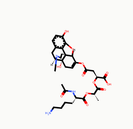 CC(=O)N[C@@H](CCCCN)C(=O)O[C@@H](C)C(=O)O[C@@H](CC(=O)OC1=CC[C@@]2(O)[C@H]3Cc4ccc(O)c5c4[C@@]2(CCN3C)[C@H]1O5)C(=O)O